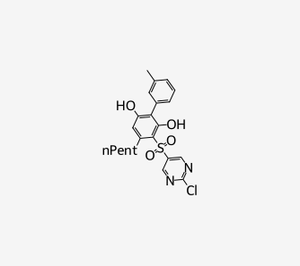 CCCCCc1cc(O)c(-c2cccc(C)c2)c(O)c1S(=O)(=O)c1cnc(Cl)nc1